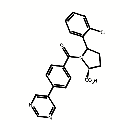 O=C(O)[C@@H]1CCC(c2ccccc2Cl)N1C(=O)c1ccc(-c2cncnc2)cc1